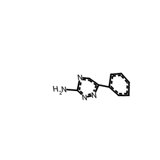 Nc1ncc(-c2ccccc2)nn1